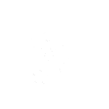 OC(Cn1cnnn1)(c1ccc(F)cc1F)C(F)(F)c1ccc(F)cn1